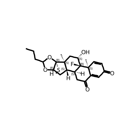 CCCC1O[C@@H]2C[C@H]3[C@@H]4CC(=O)C5=CC(=O)C=C[C@]5(C)[C@@]4(F)[C@@H](O)C[C@]3(C)[C@]2(SC)O1